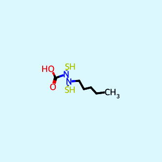 CCCCCN(S)N(S)C(=O)O